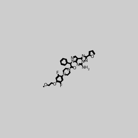 COCCOc1cc(F)c(N2CCN(C(=O)C(c3ccccc3)n3ncc4c3nc(N)n3nc(-c5ccco5)nc43)CC2)cc1F